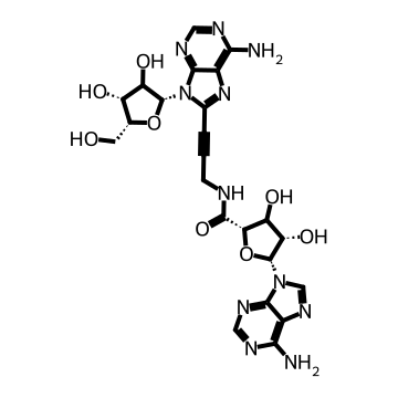 Nc1ncnc2c1ncn2[C@@H]1O[C@H](C(=O)NCC#Cc2nc3c(N)ncnc3n2[C@@H]2O[C@H](CO)[C@H](O)C2O)C(O)[C@@H]1O